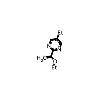 C=C(OCC)c1ncc(CC)cn1